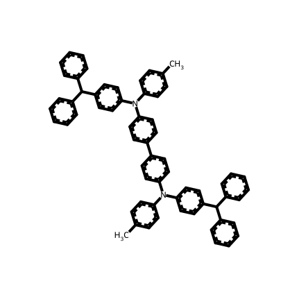 Cc1ccc(N(c2ccc(-c3ccc(N(c4ccc(C)cc4)c4ccc(C(c5ccccc5)c5ccccc5)cc4)cc3)cc2)c2ccc(C(c3ccccc3)c3ccccc3)cc2)cc1